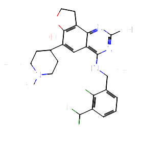 CC(=O)N1CC[C@](O)(c2cc3c(N[C@H](C)c4cccc(C(F)F)c4F)nc(C)nc3c3c2OCC3)C[C@H]1C